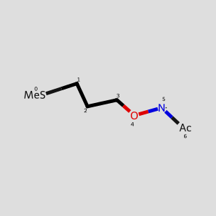 CSCCCO[N]C(C)=O